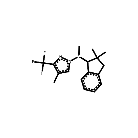 Cc1[c]n(N(C)C2c3ccccc3CC2(C)C)nc1C(F)(F)F